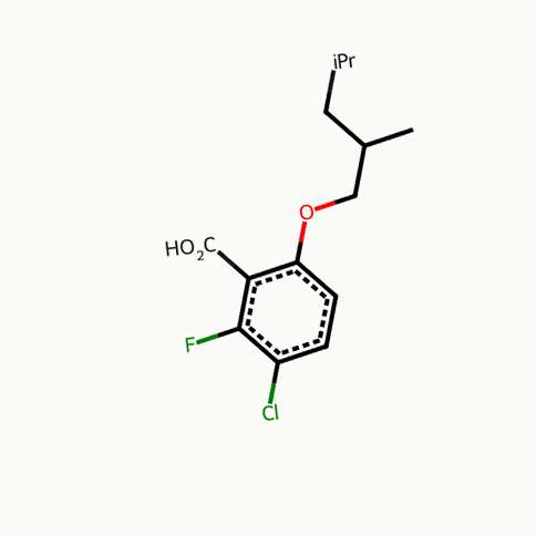 CC(C)CC(C)COc1ccc(Cl)c(F)c1C(=O)O